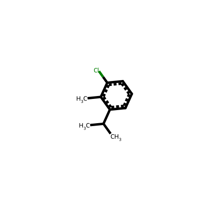 Cc1c(Cl)cccc1C(C)C